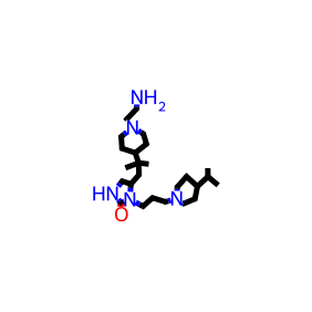 CC(C)C1CCN(CCCN2C(=O)NCC2CC(C)(C)C2CCN(CCN)CC2)CC1